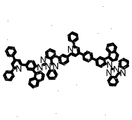 c1ccc(-c2cc(-c3ccccc3)nc(-c3ccc4c(c3)c3c5ccccc5ccc3n4-c3nc4cccc(-c5cccc(-c6cc(-c7ccc(-c8ccc9c(c8)c8c%10ccccc%10ccc8n9-c8nc9ccccc9c9nc%10ccccc%10n89)cc7)cc(-c7ccccc7)n6)c5)c4c4nc5ccccc5n34)c2)cc1